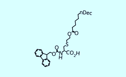 CCCCCCCCCCCCCCCC(=O)OCCSC[C@H](NC(=O)OCC1c2ccccc2-c2ccccc21)C(=O)O